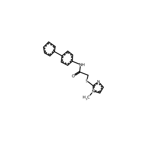 Cn1ccnc1SCC(=O)Nc1ccc(-c2ccccc2)cc1